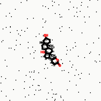 C[C@]12CC[C@H](O)C[C@H]1CCC1C2CC[C@]2(C)[C@@H](c3ccc(=O)oc3)CC[C@]12O